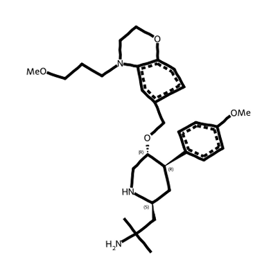 COCCCN1CCOc2ccc(CO[C@H]3CN[C@H](CC(C)(C)N)C[C@@H]3c3ccc(OC)cc3)cc21